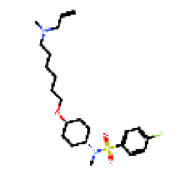 C=CCN(C)CCCCCCO[C@H]1CC[C@H](N(C)S(=O)(=O)c2ccc(F)cc2)CC1